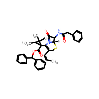 C/C=C\C1=C(C2(C(=O)OC(c3ccccc3)c3ccccc3)C(C(=O)O)C2(C)C)N2C(=O)C(NC(=O)Cc3ccccc3)[C@@H]2SC1